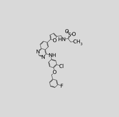 CCC(NCc1ccc(-c2ccc3ncnc(Nc4ccc(OCc5cccc(F)c5)c(Cl)c4)c3c2)o1)=S(=O)=O